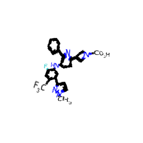 Cn1ccc(-c2cc(Nc3ccc(C4CN(C(=O)O)C4)nc3-c3ccccc3)c(F)cc2C(F)(F)F)n1